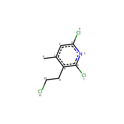 Cc1cc(Cl)nc(Cl)c1CCCl